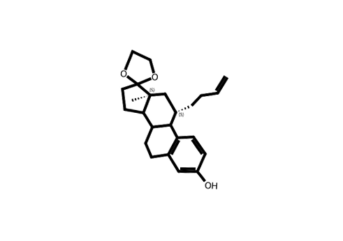 C=CCC[C@H]1C[C@@]2(C)C(CCC23OCCO3)C2CCc3cc(O)ccc3C21